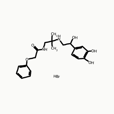 Br.CC(C)(CNC(=O)COc1ccccc1)NCC(O)c1ccc(O)c(O)c1